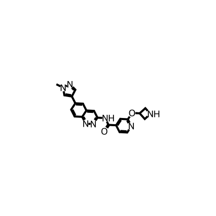 Cn1cc(-c2ccc3nnc(NC(=O)c4ccnc(OC5CNC5)c4)cc3c2)cn1